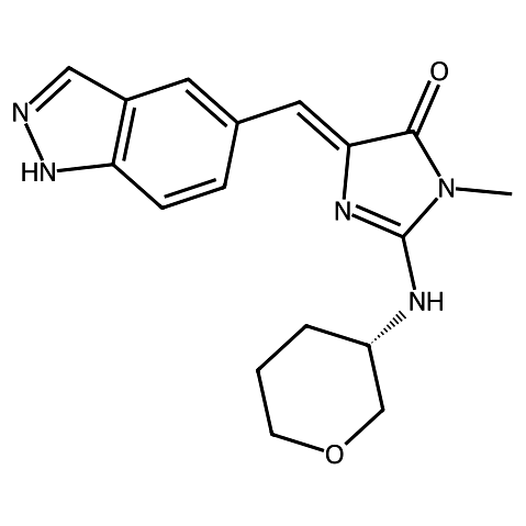 CN1C(=O)/C(=C/c2ccc3[nH]ncc3c2)N=C1N[C@H]1CCCOC1